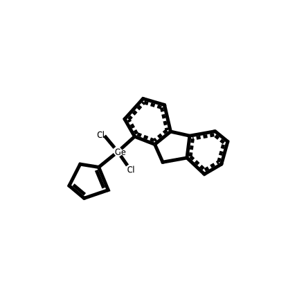 [Cl][Ge]([Cl])([C]1=CC=CC1)[c]1cccc2c1Cc1ccccc1-2